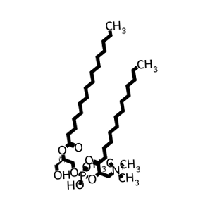 CCCCCCCCCCCCCCCC(=O)O[C@H](CO)COP(=O)(O)OC(C[N+](C)(C)C)C(=O)CCCCCCCCCCCCC